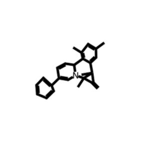 C=C1C2(C)c3cc(C)cc(C)c3C3C=CC(c4ccccc4)=CN3C12C